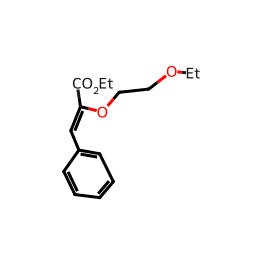 CCOCCOC(=Cc1ccccc1)C(=O)OCC